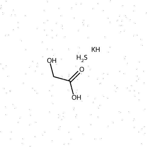 O=C(O)CO.S.[KH]